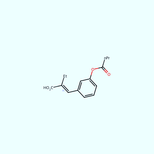 CCCC(=O)Oc1cccc(/C=C(\CC)C(=O)O)c1